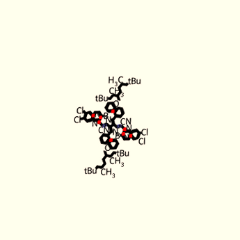 CC(CCC(COc1cccc(-c2c3/c(=C(\C#N)c4cnc5cc(Cl)c(Cl)cc5n4)n(B(c4ccccc4)c4ccccc4)c(-c4cccc(OCC(CCC(C)CC(C)(C)C)C(C)CC(C)(C)C)c4)c3/c(=C(\C#N)c3cnc4cc(Cl)c(Cl)cc4n3)n2B(c2ccccc2)c2ccccc2)c1)C(C)CC(C)(C)C)CC(C)(C)C